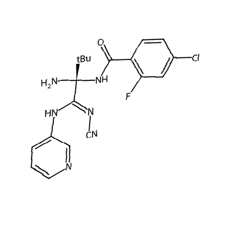 CC(C)(C)[C@@](N)(NC(=O)c1ccc(Cl)cc1F)C(=NC#N)Nc1cccnc1